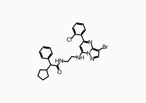 O=C(NCCNc1cc(-c2ccccc2Cl)nc2c(Br)cnn12)C(c1ccccc1)C1CCCC1